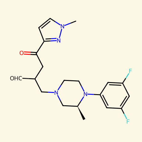 C[C@H]1CN(CC(C=O)CC(=O)c2ccn(C)n2)CCN1c1cc(F)cc(F)c1